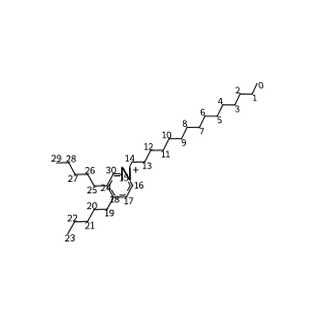 CCCCCCCCCCCCCCC[n+]1ccc(CCCCC)c(CCCCC)c1